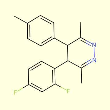 CC1=NN=C(C)C(c2ccc(F)cc2F)C1c1ccc(C)cc1